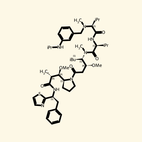 CC[C@H](C)[C@@H]([C@@H](CC(=O)N1CCC[C@H]1[C@H](OC)[C@@H](C)C(=O)N[C@@H](Cc1ccccc1)c1nccs1)OC)N(C)C(=O)[C@@H](NC(=O)[C@H](C(C)C)N(C)Cc1cccc(NC(C)C)c1)C(C)C